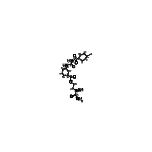 Cc1ccc(S(=O)(=O)NC(=O)Nc2cccc(C(=O)OCCN(S)C(N)=O)c2)cc1